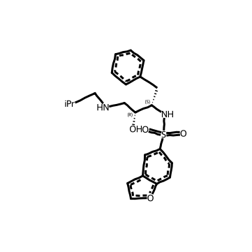 CC(C)CNC[C@@H](O)[C@H](Cc1ccccc1)NS(=O)(=O)c1ccc2occc2c1